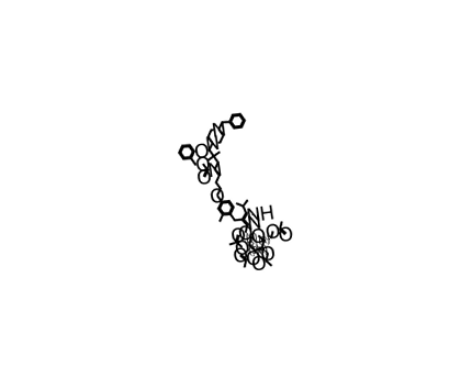 CC(=O)OC[C@H]1O[C@@H](Oc2n[nH]c(C(C)C)c2Cc2ccc(OCCCN(CC(C)(C)C(=O)N3CCN(Cc4ccccc4)CC3)C(=O)OCc3ccccc3)cc2C)[C@H](OC(C)=O)[C@@H](OC(C)=O)[C@@H]1OC(C)=O